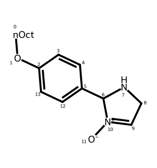 CCCCCCCCOc1ccc(C2NCC=[N+]2[O-])cc1